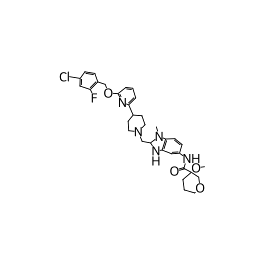 COC1(C(=O)Nc2ccc3c(c2)NC(CN2CCC(c4cccc(OCc5ccc(Cl)cc5F)n4)CC2)N3C)CCCOC1